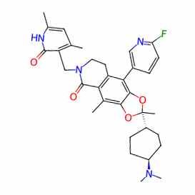 Cc1cc(C)c(CN2CCc3c(c(C)c4c(c3-c3ccc(F)nc3)OC(C)([C@H]3CC[C@H](N(C)C)CC3)O4)C2=O)c(=O)[nH]1